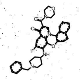 O=C(c1cn2c3c(c(NC4CCN(Cc5ccccc5)CC4)c(F)cc3c1=O)Oc1ccc3ccccc3c1-2)N1CCOCC1